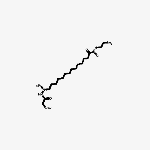 CCCCCCCCCCCC(=O)NN(CCC)CCCCCCCCCCCCCC(=O)[NH+]([O-])CCCN